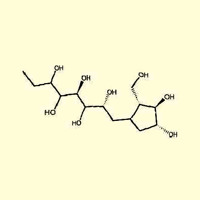 CCC(O)C(O)[C@@H](O)C(O)[C@H](O)CC1C[C@@H](O)[C@H](O)[C@H]1CO